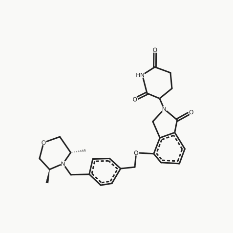 C[C@H]1COC[C@H](C)N1Cc1ccc(COc2cccc3c2CN(C2CCC(=O)NC2=O)C3=O)cc1